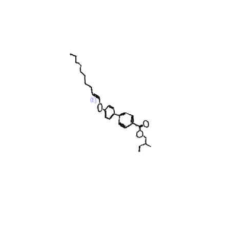 CCCCCCCC/C=C/Oc1ccc(-c2ccc(C(=O)OCC(C)CC)cc2)cc1